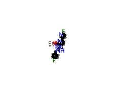 CCOc1nc(NCc2ccc(F)cc2)nc2ccc(-c3ccc(F)nc3)nc12